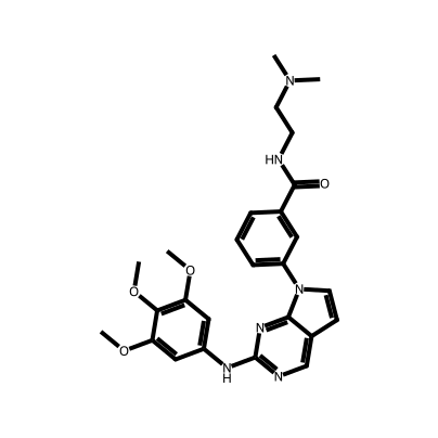 COc1cc(Nc2ncc3ccn(-c4cccc(C(=O)NCCN(C)C)c4)c3n2)cc(OC)c1OC